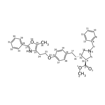 COC(=O)[C@@H]1CN(Cc2ccccc2)C[C@H]1CCc1ccc(OCCc2nc(-c3ccccc3)oc2C)cc1